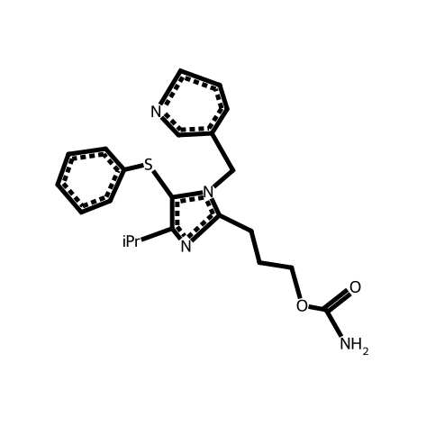 CC(C)c1nc(CCCOC(N)=O)n(Cc2cccnc2)c1Sc1ccccc1